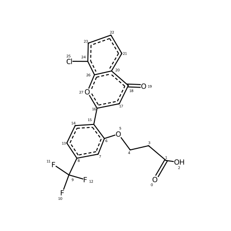 O=C(O)CCOc1cc(C(F)(F)F)ccc1-c1cc(=O)c2cccc(Cl)c2o1